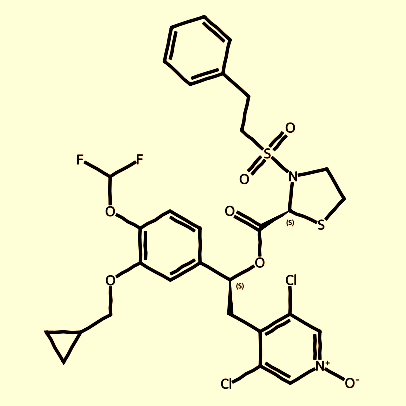 O=C(O[C@@H](Cc1c(Cl)c[n+]([O-])cc1Cl)c1ccc(OC(F)F)c(OCC2CC2)c1)[C@@H]1SCCN1S(=O)(=O)CCc1ccccc1